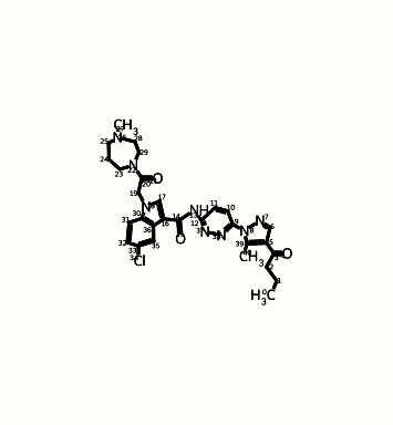 CCCC(=O)c1cnn(-c2ccc(NC(=O)c3cn(CC(=O)N4CCCN(C)CC4)c4ccc(Cl)cc34)nn2)c1C